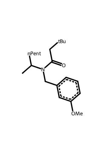 CCCCCC(C)N(Cc1cccc(OC)c1)C(=O)CC(C)(C)C